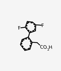 O=C(O)Cc1ccccc1-c1cc(F)ccc1F